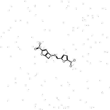 O=[N+]([O-])c1ccc(/C=N/N2Cc3oc([N+](=O)[O-])cc32)o1